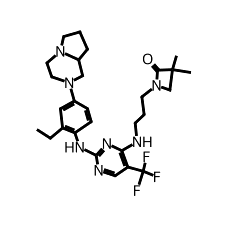 CCc1cc(N2CCN3CCCC3C2)ccc1Nc1ncc(C(F)(F)F)c(NCCCN2CC(C)(C)C2=O)n1